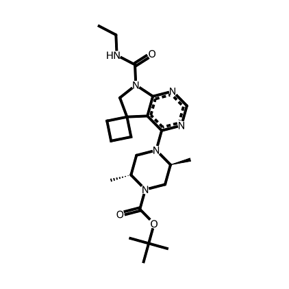 CCNC(=O)N1CC2(CCC2)c2c1ncnc2N1C[C@@H](C)N(C(=O)OC(C)(C)C)C[C@@H]1C